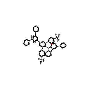 FC(F)(F)c1ccc(-c2cc(-c3cc(-c4ccccc4)nc(-c4ccccc4)n3)cc(-c3ccc(C(F)(F)F)cc3)c2-n2c3ccccc3c3cc(-c4ccccc4)ccc32)cc1